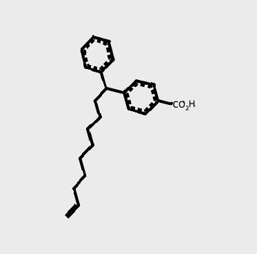 C=CCCCCCCCC(c1ccccc1)c1ccc(C(=O)O)cc1